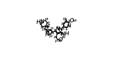 COc1ncc(-n2nc(-c3cnn(CC4(F)CCNCC4)c3)c3c2NCOCC3)cc1C